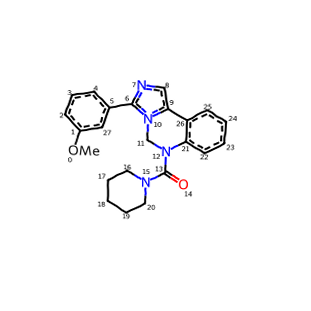 COc1cccc(-c2ncc3n2CN(C(=O)N2CCCCC2)c2ccccc2-3)c1